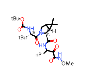 CCCC(NC(=O)[C@@H]1[C@@H]2C(CN1C(=O)[C@@H](NC(=O)OC(C)(C)C)C(C)(C)C)C2(C)C)C(=O)C(=O)NOC